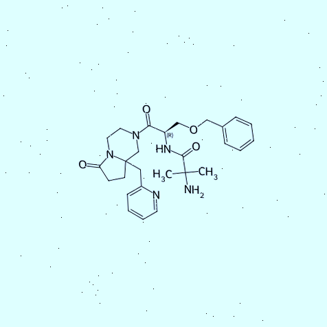 CC(C)(N)C(=O)N[C@H](COCc1ccccc1)C(=O)N1CCN2C(=O)CCC2(Cc2ccccn2)C1